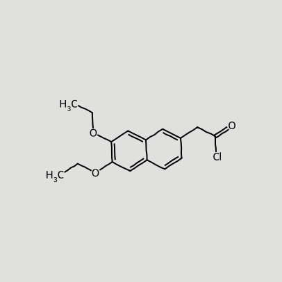 CCOc1cc2ccc(CC(=O)Cl)cc2cc1OCC